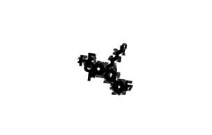 CCCCCCCC1(c2ccc(OC(F)F)c(F)c2)C=CC(c2cccc(F)c2)=CC1